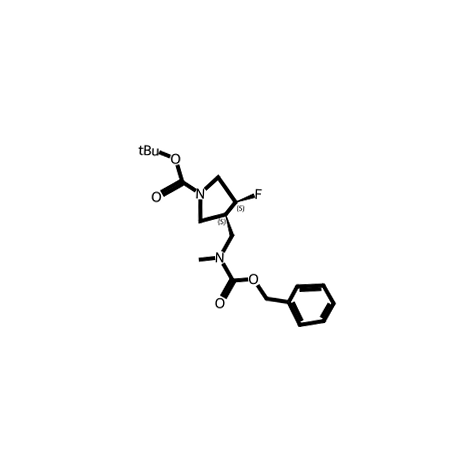 CN(C[C@H]1CN(C(=O)OC(C)(C)C)C[C@H]1F)C(=O)OCc1ccccc1